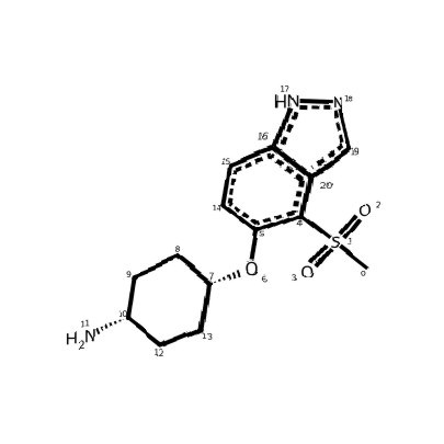 CS(=O)(=O)c1c(O[C@H]2CC[C@@H](N)CC2)ccc2[nH]ncc12